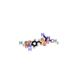 Cc1nc(C#N)c(S(=O)(=O)CCc2ccc(NS(C)(=O)=O)cc2)o1